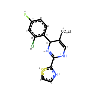 CCOC(=O)C1=CNC(c2nccs2)=NC1c1ccc(F)cc1Cl